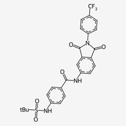 CC(C)(C)S(=O)(=O)Nc1ccc(C(=O)Nc2ccc3c(c2)C(=O)N(c2ccc(C(F)(F)F)cc2)C3=O)cc1